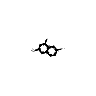 Cc1cc(O)cc2ccc(Cl)cc12